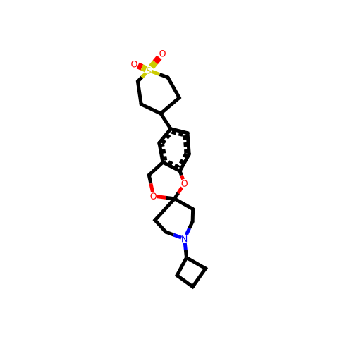 O=S1(=O)CCC(c2ccc3c(c2)COC2(CCN(C4CCC4)CC2)O3)CC1